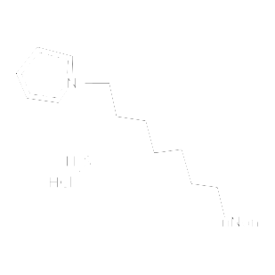 CCCCCCCCCCCCCCCC[n+]1ccccc1.Cl.S